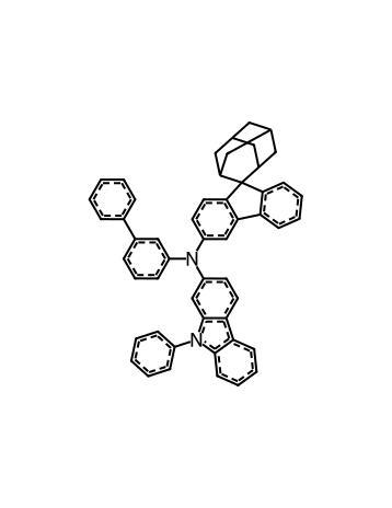 c1ccc(-c2cccc(N(c3ccc4c(c3)-c3ccccc3C43C4CC5CC(C4)CC3C5)c3ccc4c5ccccc5n(-c5ccccc5)c4c3)c2)cc1